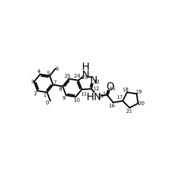 Cc1cccc(C)c1-c1ccc2c(NC(=O)CC3CCCC3)n[nH]c2c1